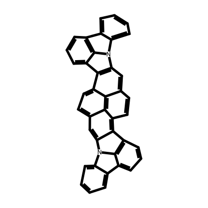 c1ccc2c(c1)c1cccc3c4c5ccc6cc7c(c8ccc(cc4n2c13)c5c68)c1cccc2c3ccccc3n7c21